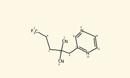 N#CC(C#N)(CCC(F)(F)F)Cc1cnccn1